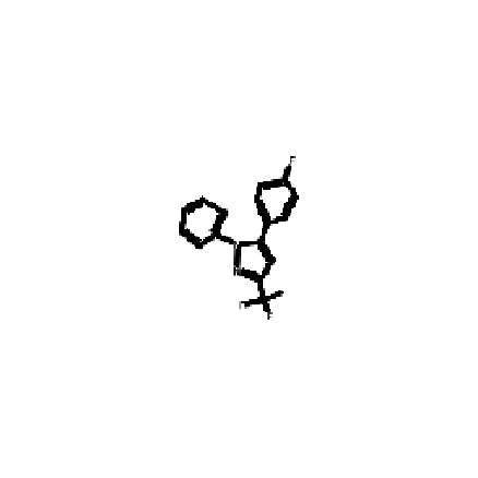 Fc1ccc(-c2cc(C(F)(F)F)nn2-c2ccccc2)cc1